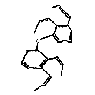 C/C=C\c1cccc(Oc2cccc(/C=C\C)c2/C=C\C)c1/C=C\C